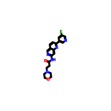 O=C(CCN1CCOCC1)Nc1cc2nc(-c3cncc(F)c3)ccc2cn1